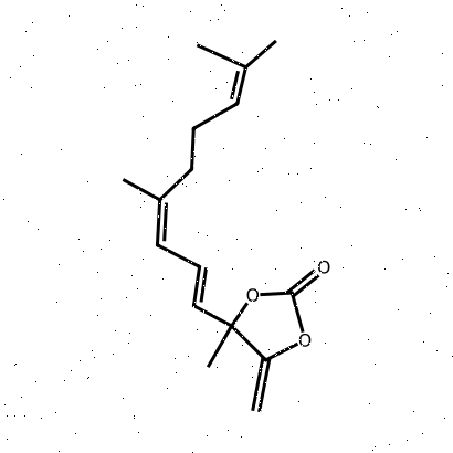 C=C1OC(=O)OC1(C)C=CC=C(C)CCC=C(C)C